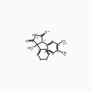 CC1(C2=CC[CH]C=C2)C(=O)NC(=O)N1c1ccc(C#N)c(C(F)(F)F)c1